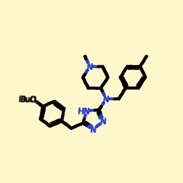 Cc1ccc(CN(c2nnc(Cc3ccc(OCC(C)C)cc3)[nH]2)C2CCN(C)CC2)cc1